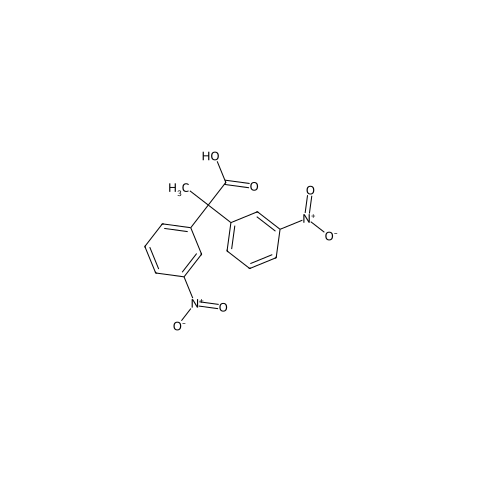 CC(C(=O)O)(c1cccc([N+](=O)[O-])c1)c1cccc([N+](=O)[O-])c1